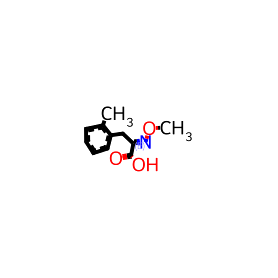 CO/N=C(\Cc1ccccc1C)C(=O)O